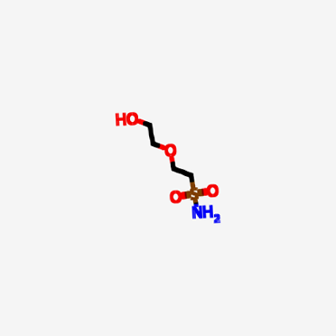 NS(=O)(=O)CCOCCO